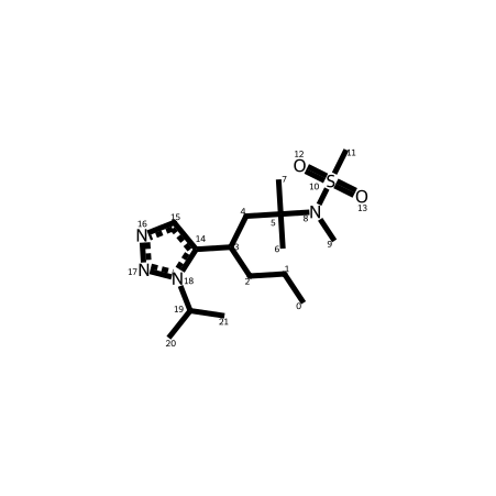 CCCC(CC(C)(C)N(C)S(C)(=O)=O)c1cnnn1C(C)C